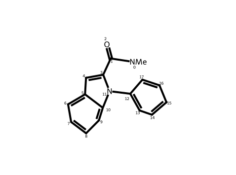 CNC(=O)c1cc2ccccc2n1-c1ccccc1